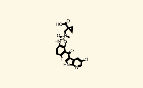 CN(CC1(C(=O)O)CC1)S(=O)(=O)Nc1ccc(F)c(C(=O)c2c[nH]c3ncc(Cl)cc23)c1F